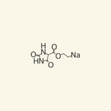 O=C1NC(=O)C(C(=O)OC[CH2][Na])N1